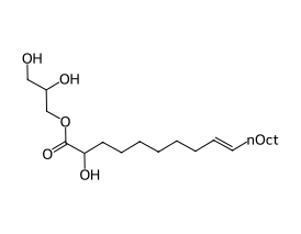 CCCCCCCCC=CCCCCCCC(O)C(=O)OCC(O)CO